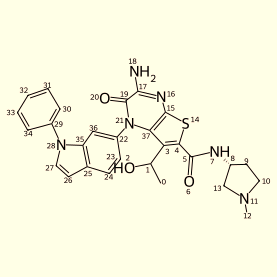 CC(O)c1c(C(=O)N[C@@H]2CCN(C)C2)sc2nc(N)c(=O)n(-c3ccc4ccn(-c5ccccc5)c4c3)c12